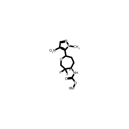 Cn1ncc([N+](=O)[O-])c1C1CC[C@@H](NC(=O)OC(C)(C)C)C(F)(F)CO1